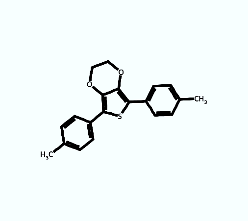 Cc1ccc(-c2sc(-c3ccc(C)cc3)c3c2OCCO3)cc1